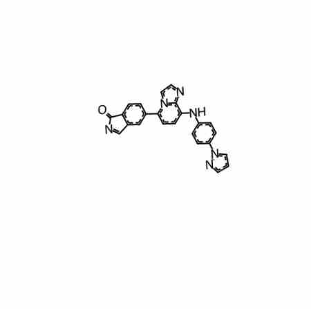 O=C1N=Cc2cc(-c3ccc(Nc4ccc(-n5cccn5)cc4)c4nccn34)ccc21